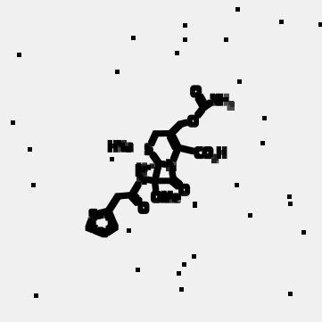 COC1(NC(=O)Cc2cccs2)C(=O)N2C(C(=O)O)=C(COC(N)=O)CS[C@@H]21.[NaH]